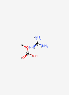 COC(=O)O.N=C(N)N